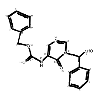 O=CC(c1ccccc1)n1cncc(NC(=O)OCc2ccccc2)c1=O